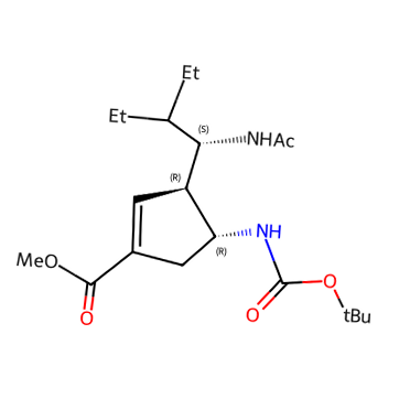 CCC(CC)[C@H](NC(C)=O)[C@@H]1C=C(C(=O)OC)C[C@H]1NC(=O)OC(C)(C)C